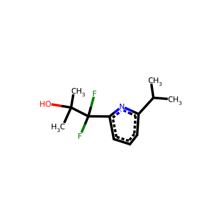 CC(C)c1cccc(C(F)(F)C(C)(C)O)n1